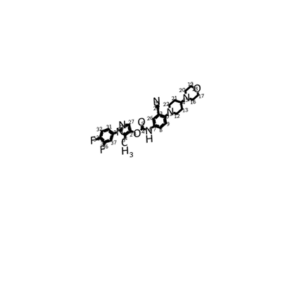 Cc1c(OC(=O)Nc2ccc(N3CCC(N4CCOCC4)CC3)c(C#N)c2)cnn1-c1ccc(F)c(F)c1